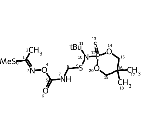 CSC(C)=NOC(=O)NCSN(C(C)(C)C)P1(=S)OCC(C)(C)CO1